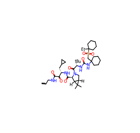 C=CCNC(=O)C(=O)[C@H](CC1CC1)NC(=O)[C@@H]1[C@@H]2[C@H](CN1C(=O)[C@@H](NC(=O)NC1(CS(=O)(=O)C3(CC)CCCCC3)CCCCC1)C(C)(C)C)C2(C)C